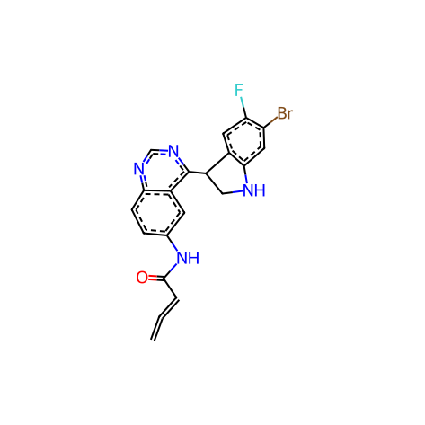 C=C=CC(=O)Nc1ccc2ncnc(C3CNc4cc(Br)c(F)cc43)c2c1